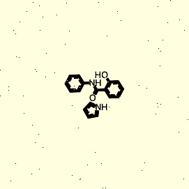 O=C(Nc1ccccc1)c1ccccc1O.c1cc[nH]c1